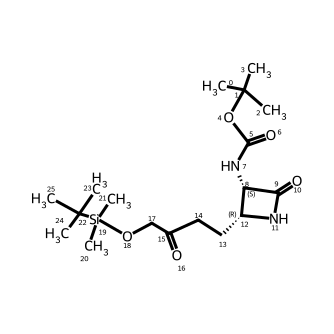 CC(C)(C)OC(=O)N[C@@H]1C(=O)N[C@@H]1CCC(=O)CO[Si](C)(C)C(C)(C)C